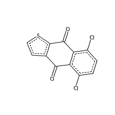 O=C1c2ccsc2C(=O)c2c(Cl)ccc(Cl)c21